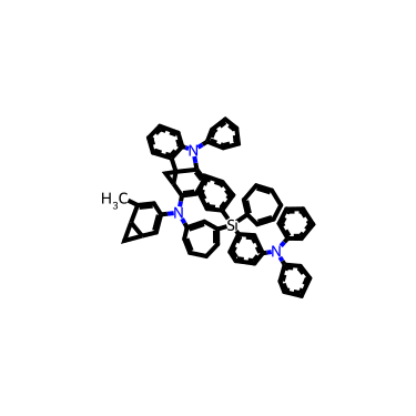 CC1=CC(N(C2=CC([Si](C3=CC=CCC=C3)(c3ccccc3)c3cccc(N(c4ccccc4)c4ccccc4)c3)=CCC=C2)C2=CC=C3N(c4ccccc4)c4ccccc4C34CC24)=CC2CC12